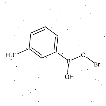 Cc1cccc(B(O)OBr)c1